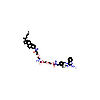 CCCCc1nc2c(N)nc3ccccc3c2n1Cc1ccc(CNC(=O)OCCOCCOC(=O)NCCOCCC(=O)NC2CCC3(C)C(=CCC4C3CCC3(C)C(C(C)CCCC(C)C)CCC43)C2)cc1